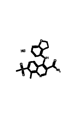 Cc1c(S(C)(=O)=O)ccc2c(Nc3cccc4c3CCO4)c(C(N)=O)cnc12.Cl